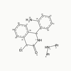 CC(C)NC(C)C.CCC1C(=O)NC(c2ccccc2N)c2ccccc21